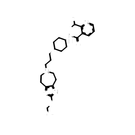 O=C(N[C@H]1CC[C@H](CCCN2CCc3nc(OCC(F)(F)F)sc3CC2)CC1)c1cccnc1C(F)F